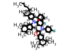 CCCCC(C)(C)c1cc(-c2ccccc2)c(N2c3cc4c(cc3B3c5oc6cc7c(cc6c5N(c5ccc(F)cc5F)c5cc(C)cc2c53)C(C)(C)CCC7(C)C)C(C)(C)CCC4(C)C)cc1CC